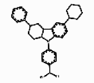 CCCC(CC)c1ccc(N2c3ccc(C4CCCCC4)cc3C3CC(c4ccccc4)CCC32)cc1